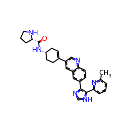 Cc1cccc(-c2[nH]cnc2-c2ccc3ncc(C4=CC[C@@H](NC(=O)[C@@H]5CCCN5)CC4)cc3c2)n1